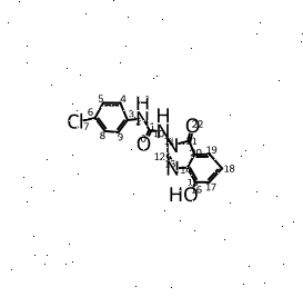 O=C(Nc1ccc(Cl)cc1)Nn1cnc2c(O)cccc2c1=O